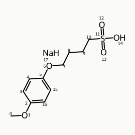 COc1ccc(OCCCCS(=O)(=O)O)cc1.[NaH]